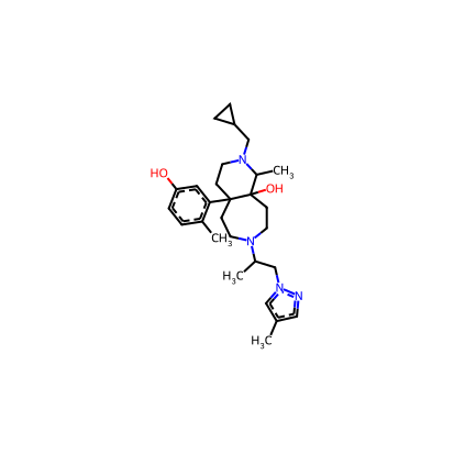 Cc1cnn(CC(C)N2CCC3(c4cc(O)ccc4C)CCN(CC4CC4)C(C)C3(O)CC2)c1